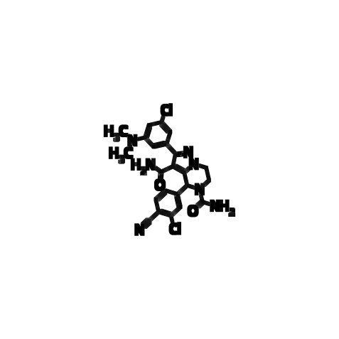 CN(C)c1cc(Cl)cc(-c2nn3c(c2C(N)=O)C(c2ccc(C#N)c(Cl)c2)N(C(N)=O)CC3)c1